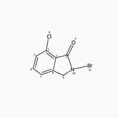 O=C1c2c(Cl)cccc2CN1Br